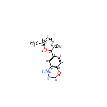 C[SiH](C)OC(c1ccc2c(c1)NCCO2)C(C)(C)C